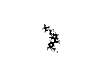 CC1(F)CN(C(=O)Cn2ccc3scc(-c4ccc(F)c(C(F)(F)F)c4)c3c2=O)C1